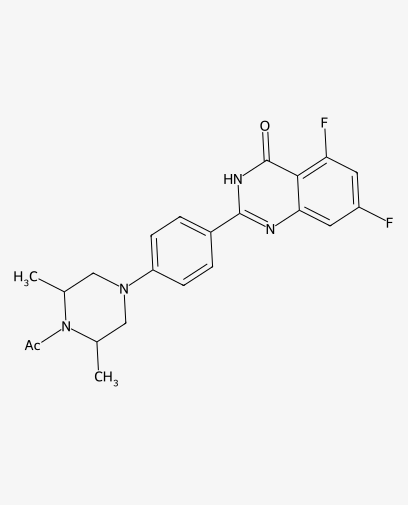 CC(=O)N1C(C)CN(c2ccc(-c3nc4cc(F)cc(F)c4c(=O)[nH]3)cc2)CC1C